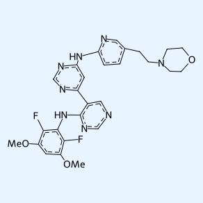 COc1cc(OC)c(F)c(Nc2ncncc2-c2cc(Nc3ccc(CCN4CCOCC4)cn3)ncn2)c1F